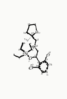 CC[Si](CC)(CC)OC(CNC[C@@]1(C)CCCO1)c1c(Cl)cncc1Cl